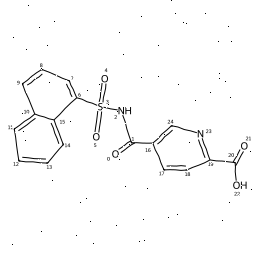 O=C(NS(=O)(=O)c1cccc2ccccc12)c1ccc(C(=O)O)nc1